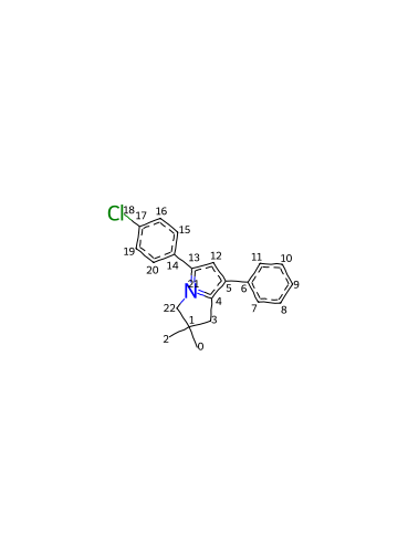 CC1(C)Cc2c(-c3ccccc3)cc(-c3ccc(Cl)cc3)n2C1